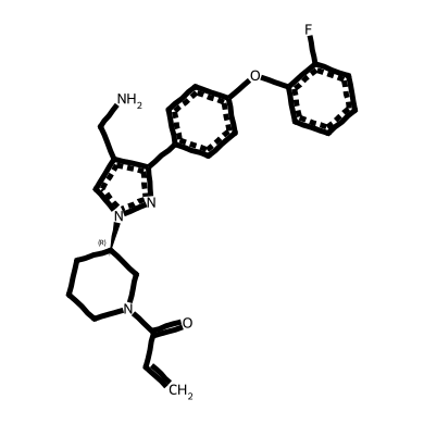 C=CC(=O)N1CCC[C@@H](n2cc(CN)c(-c3ccc(Oc4ccccc4F)cc3)n2)C1